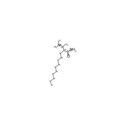 CCCCCCCCCCC(C(N)=O)C(C)N(C)C